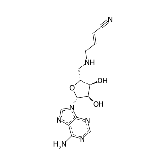 N#CC=CCNC[C@H]1O[C@@H](n2cnc3c(N)ncnc32)[C@H](O)[C@@H]1O